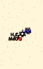 C=C(C(=O)OC)c1ccc(-n2ccnc2)cc1